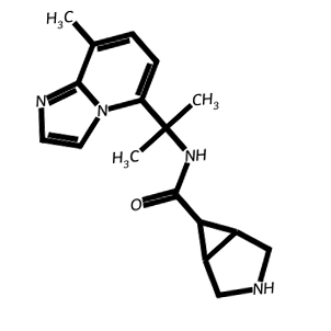 Cc1ccc(C(C)(C)NC(=O)C2C3CNCC32)n2ccnc12